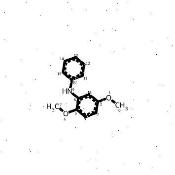 COc1ccc(OC)c(Nc2ccccc2)c1